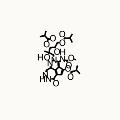 COC(=O)Nc1c2c(OC(=O)C(C)C)cc3c(=O)[nH]ncc(nn1C1OC(COC(=O)C(C)C)C(OC(=O)C(C)C)C1(C)O)c23